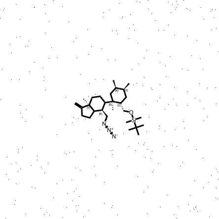 C=C1CCC2[C@H](CN=[N+]=[N-])C([C@@]3(C)C[C@@H](C)[C@@H](C)C[C@@H]3CO[Si](C)(C)C(C)(C)C)CC[C@]12C